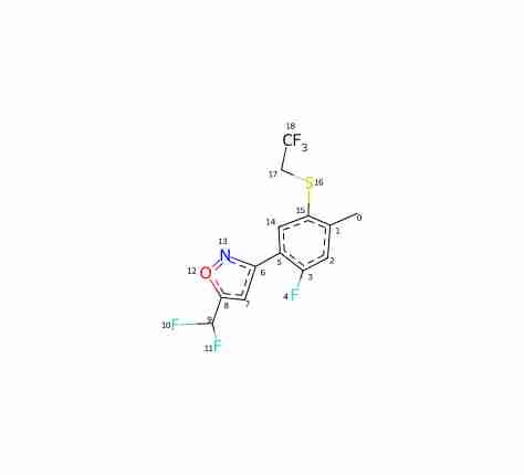 Cc1cc(F)c(-c2cc(C(F)F)on2)cc1SCC(F)(F)F